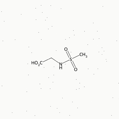 CS(=O)(=O)NCC(=O)O